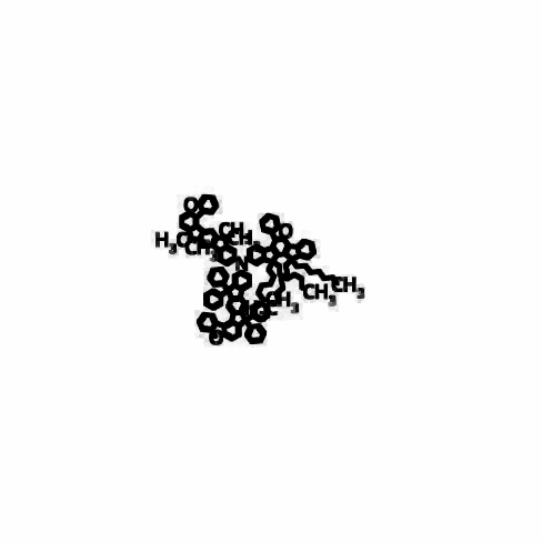 CCCCCCCC1(CCCCCCC)c2ccccc2-c2c1c1c(c3c2oc2ccccc23)-c2ccc(N(c3ccc4c(c3)C(C)(C)c3cc5c(cc3-4)C(C)(C)c3ccc4oc6ccccc6c4c3-5)c3ccc4c(c3)C(c3ccccc3)(c3ccccc3)c3cc5c(cc3-4)C(c3ccccc3)(c3ccccc3)c3ccc4oc6ccccc6c4c3-5)cc2C1(CCCCCCC)CCCCCCC